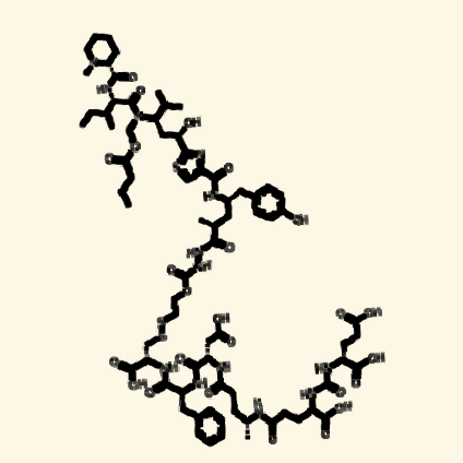 CCCC(=O)OCN(C(=O)[C@@H](NC(=O)[C@H]1CCCCN1C)C(C)CC)[C@H](C[C@@H](O)c1nc(C(=O)N[C@@H](Cc2ccc(O)cc2)C[C@H](C)C(=O)NNC(=O)OCCSSC[C@H](NC(=O)[C@H](Cc2ccccc2)NC(=O)[C@H](CC(=O)O)NC(=O)CC[C@@H](C)NC(=O)CCC(NC(=O)N[C@@H](CCC(=O)O)C(=O)O)C(=O)O)C(=O)O)cs1)C(C)C